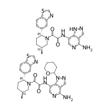 C[C@H]1CC[C@H](c2ccc3scnc3c2)N(C(=O)C(=O)Nc2cnc(N)c3cn[nH]c23)C1.C[C@H]1CC[C@H](c2ccc3scnc3c2)N(C(=O)C(=O)Nc2cnc(N)c3cnn(C4CCCCO4)c23)C1